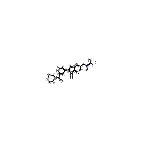 C/C(N)=C(\C)Cc1cnc2[nH]c(-c3ccnc(C(=O)N4CCSCC4)c3)cc2c1